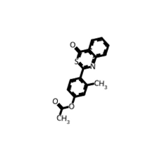 CC(=O)Oc1ccc(-c2nc3ccccc3c(=O)s2)c(C)c1